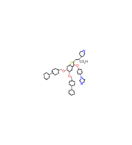 O=C(O)C(=Cc1sc2cc(OCc3ccc(-c4ccccc4)cc3)c(OCc3ccc(-c4ccccc4)cc3)cc2c1Oc1ccc(-n2ccnc2)cc1)c1ccncc1